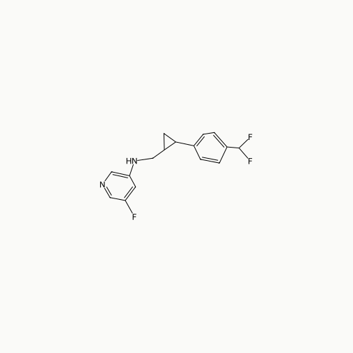 Fc1cncc(NCC2CC2c2ccc(C(F)F)cc2)c1